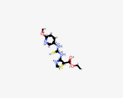 CCOC(=O)c1scnc1NC(=S)Nc1ccc(OC)nc1